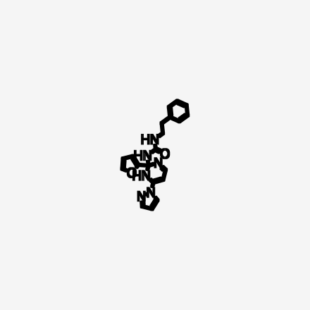 O=C(NCCc1ccccc1)NC1(c2ccco2)N=CC=C(n2cccn2)N1